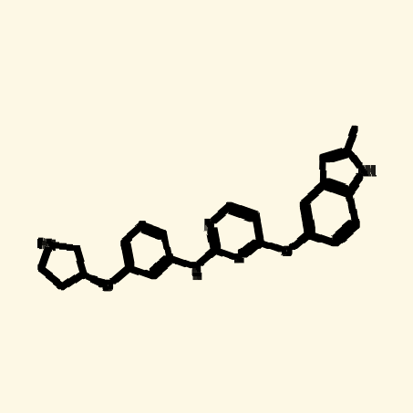 Cc1cc2cc(Oc3ccnc(Nc4cccc(O[C@H]5CCNC5)c4)n3)ccc2[nH]1